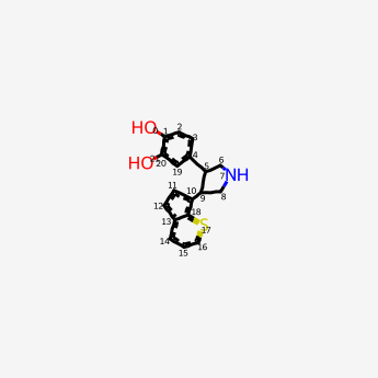 Oc1ccc(C2CNCC2c2ccc3cccsc2-3)cc1O